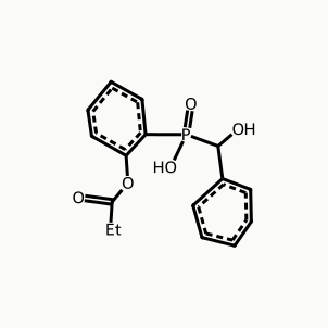 CCC(=O)Oc1ccccc1P(=O)(O)C(O)c1ccccc1